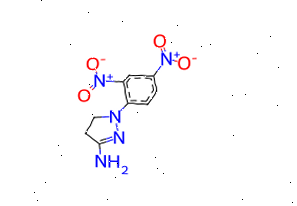 NC1=NN(c2ccc([N+](=O)[O-])cc2[N+](=O)[O-])CC1